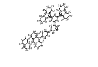 c1ccc2c(-c3c4ccccc4c(-c4ccc(-c5cncc(-c6cc(-n7c8ccccc8c8ccccc87)cc(-n7c8ccccc8c8ccccc87)c6)c5)cc4)c4ccccc34)cccc2c1